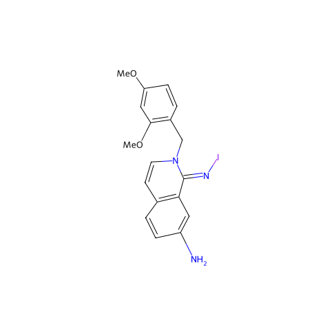 COc1ccc(Cn2ccc3ccc(N)cc3c2=NI)c(OC)c1